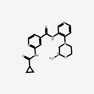 C[C@H]1CN(c2ccncc2NC(=O)c2ccnc(NC(=O)C3CC3)c2)CCO1